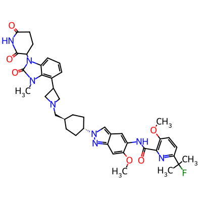 COc1cc2nn([C@H]3CC[C@H](CN4CC(c5cccc6c5n(C)c(=O)n6C5CCC(=O)NC5=O)C4)CC3)cc2cc1NC(=O)c1nc(C(C)(C)F)ccc1OC